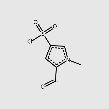 Cn1cc(S(=O)(=O)Cl)cc1[C]=O